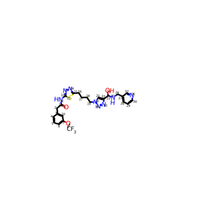 O=C(Cc1cccc(OC(F)(F)F)c1)Nc1nnc(CCCCn2cc(C(O)NCc3cccnc3)nn2)s1